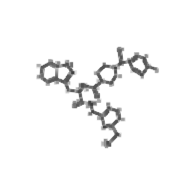 Cc1ccc(C(=O)N2CCN(C(=O)NC(Cc3c[nH]c4ccccc34)C(=O)NCc3cc(CN)ccn3)CC2)cc1